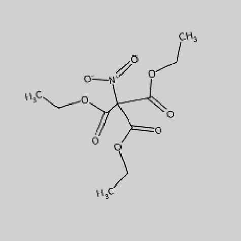 CCOC(=O)C(C(=O)OCC)(C(=O)OCC)[N+](=O)[O-]